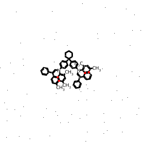 Cc1ccc(/C(=C\N(c2ccc(C3(c4ccc(N(C=C(c5ccccc5)c5ccccc5)c5ccc(C)cc5C)cc4)CCCCC3)cc2)c2ccc(C)cc2C)c2ccccc2)cc1